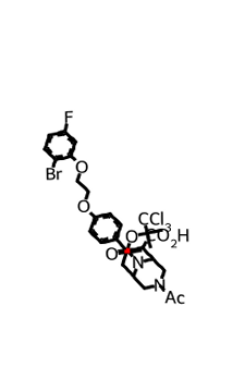 CC(=O)N1CC2CC(c3ccc(OCCOc4cc(F)ccc4Br)cc3)=C(C(=O)O)C(C1)N2C(=O)OC(C)(C)C(Cl)(Cl)Cl